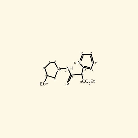 CCOC(=O)C(C(=S)NN1CCCC(CC)C1)c1ccccn1